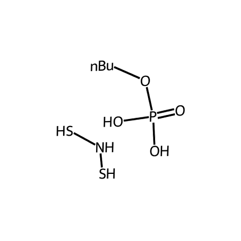 CCCCOP(=O)(O)O.SNS